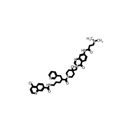 CN(C)CCC(=O)Nc1ccc2c(=O)n(CC3(O)CCN(C(=O)C(CCCNC(=O)c4ccc5c(Cl)ccnc5c4)Cc4cccnc4)CC3)cnc2c1